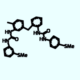 CSc1ccc(NC(=O)Nc2ccccc2Cc2ccc(C)c(NC(=O)Nc3cccc(SC)c3)c2)cc1